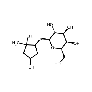 CC1(C)CC(O)CC1S[C@@H]1O[C@H](CO)[C@H](O)[C@H](O)[C@H]1O